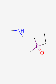 CCP(C)(=O)CCNC